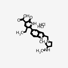 CCc1cc(C(=O)O)c(=O)[nH]c1-c1ccc2c(c1)cc(CN1CCC(NC)C1)n2C.Cl.Cl